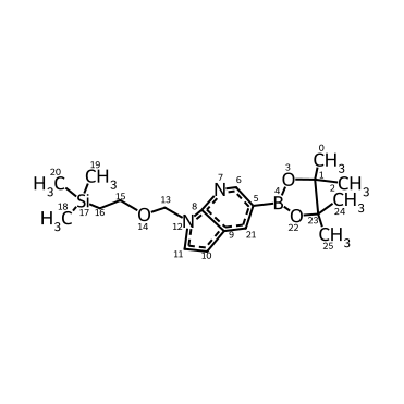 CC1(C)OB(c2cnc3c(ccn3COCC[Si](C)(C)C)c2)OC1(C)C